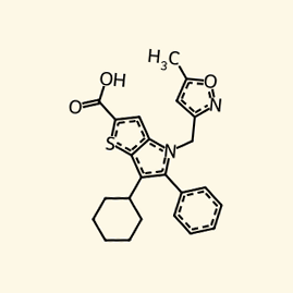 Cc1cc(Cn2c(-c3ccccc3)c(C3CCCCC3)c3sc(C(=O)O)cc32)no1